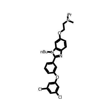 CCCCn1c(-c2cccc(Oc3cc(Cl)cc(Cl)c3)c2)nc2ccc(OCCN(C)C(C)C)cc21